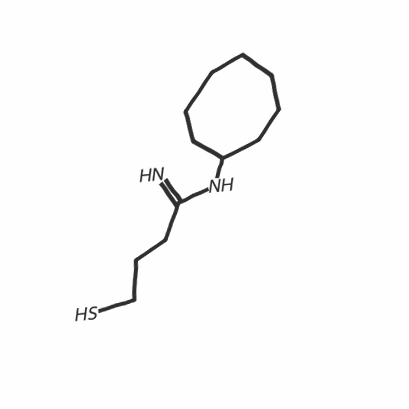 N=C(CCCS)NC1CCCCCCC1